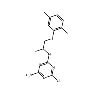 Cc1ccc(C)c(SCC(C)Nc2nc(N)nc(Cl)n2)c1